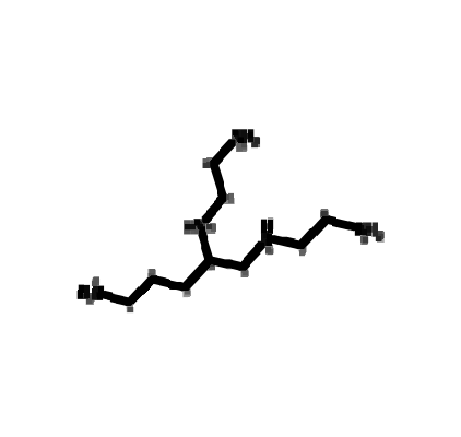 NCCCC(CNCCN)NCCN